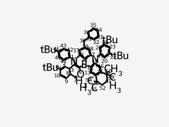 CC(C)(C)C1=CC2C3=C(OCC2C=C1)B1c2cc4c(cc2N(c2cc(C(C)(C)C)cc(C(C)(C)C)c2)c2cc(Cc5ccccc5)cc(c21)N3c1ccc(C(C)(C)C)cc1)C(C)(C)CCC4(C)C